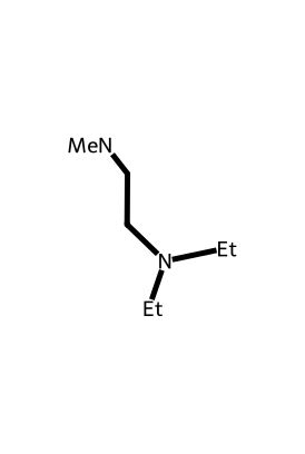 [CH2]NCCN(CC)CC